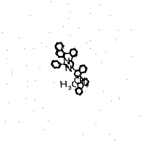 CC1(C)c2ccccc2-c2cccc(-c3ccc(-c4cc(-c5ccccc5-c5cccc6ccccc56)nc(-c5ccccc5)n4)c4ccccc34)c21